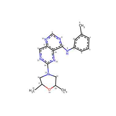 Cc1cccc(Nc2ncnc3cnc(N4CC(C)OC(C)C4)nc23)c1